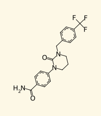 NC(=O)c1ccc(N2CCCN(Cc3ccc(C(F)(F)F)cc3)C2=O)cc1